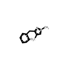 CCOC(=O)c1cn(C)nc1Cc1ccccc1